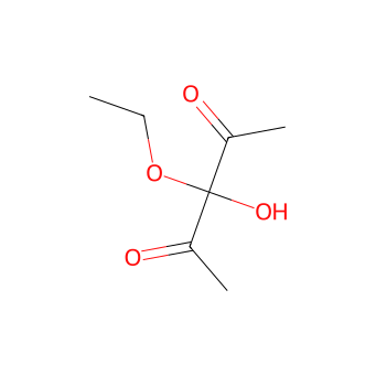 CCOC(O)(C(C)=O)C(C)=O